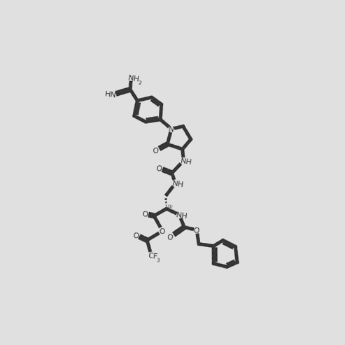 N=C(N)c1ccc(N2CCC(NC(=O)NC[C@H](NC(=O)OCc3ccccc3)C(=O)OC(=O)C(F)(F)F)C2=O)cc1